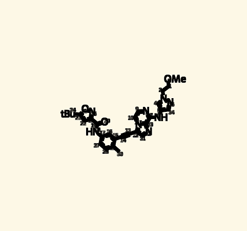 COCCn1cc(Nc2nccn3c(C#Cc4cc(NC(=O)c5cc(C(C)(C)C)on5)ccc4C)cnc23)cn1